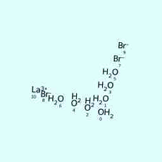 O.O.O.O.O.O.O.[Br-].[Br-].[Br-].[La+3]